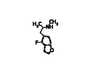 CNC(C)Cc1ccc2occc2c1F